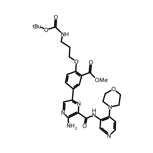 COC(=O)c1cc(-c2cnc(N)c(C(=O)Nc3cnccc3N3CCOCC3)n2)ccc1OCCCNC(=O)OC(C)(C)C